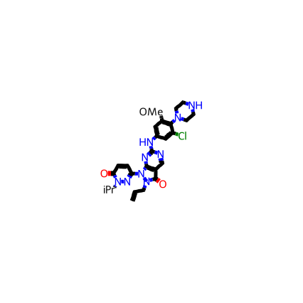 C=CCn1c(=O)c2cnc(Nc3cc(Cl)c(N4CCNCC4)c(OC)c3)nc2n1-c1ccc(=O)n(C(C)C)n1